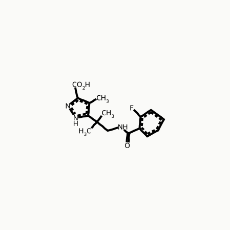 Cc1c(C(=O)O)n[nH]c1C(C)(C)CNC(=O)c1ccccc1F